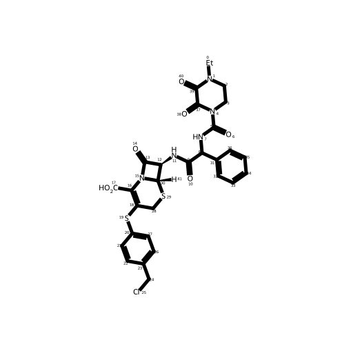 CCN1CCN(C(=O)NC(C(=O)N[C@@H]2C(=O)N3C(C(=O)O)=C(Sc4ccc(CCl)cc4)CS[C@@H]23)c2ccccc2)C(=O)C1=O